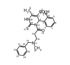 CC1=C(C(=O)O)C(c2ccccc2C(F)(F)F)N(C(=O)CCN(C)Cc2ccccc2)C(=S)N1